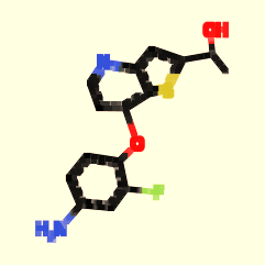 CC(O)c1cc2nccc(Oc3ccc(N)cc3F)c2s1